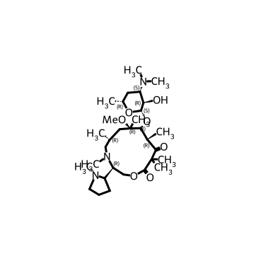 CO[C@]1(C)C[C@@H](C)CN(C)[C@H](C2CCCN2C)COC(=O)C(C)(C)C(=O)[C@H](C)[C@H]1O[C@@H]1O[C@H](C)C[C@H](N(C)C)[C@H]1O